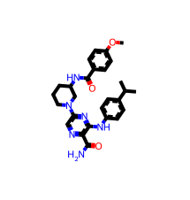 COc1ccc(C(=O)NC2CCCN(c3cnc(C(N)=O)c(Nc4ccc(C(C)C)cc4)n3)C2)cc1